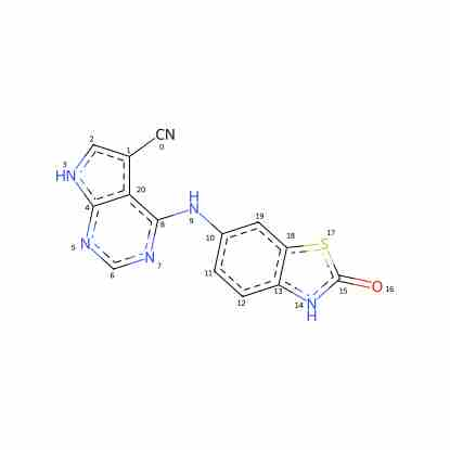 N#Cc1c[nH]c2ncnc(Nc3ccc4[nH]c(=O)sc4c3)c12